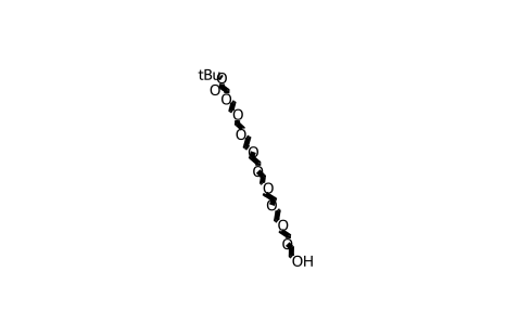 CC(C)(C)OC(=O)COCCOCCOCCOCCOCCOCCOCCOCCOCCO